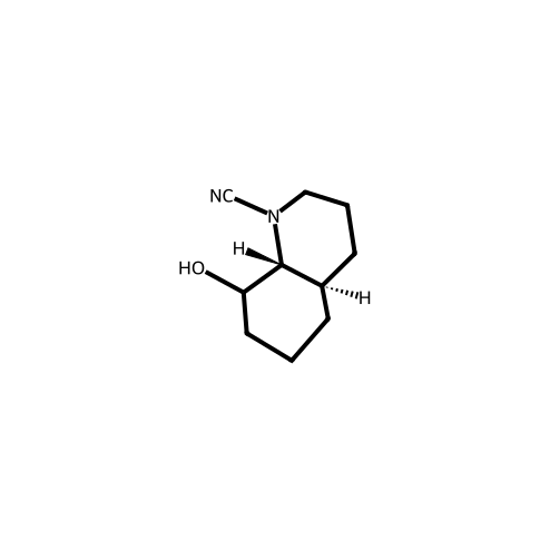 N#CN1CCC[C@H]2CCCC(O)[C@@H]21